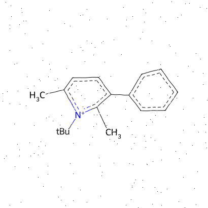 Cc1ccc(-c2ccccc2)c(C)[n+]1C(C)(C)C